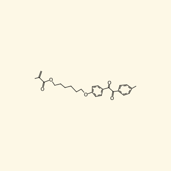 C=C(C)C(=O)OCCCCCCOc1ccc(C(=O)C(=O)c2ccc(C)cc2)cc1